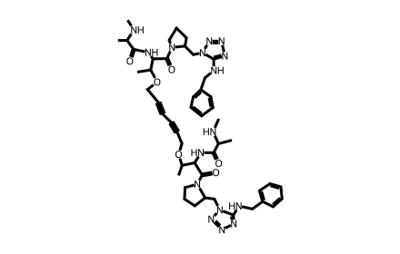 CNC(C)C(=O)NC(C(=O)N1CCCC1Cn1nnnc1NCc1ccccc1)C(C)OCC#CC#CCOC(C)C(NC(=O)C(C)NC)C(=O)N1CCCC1Cn1nnnc1NCc1ccccc1